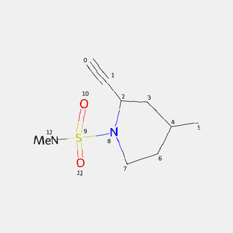 C#CC1CC(C)CCN1S(=O)(=O)NC